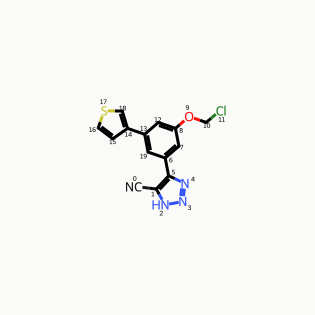 N#Cc1[nH]nnc1-c1cc(OCCl)cc(-c2ccsc2)c1